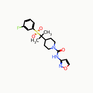 CC(C)(C1CCN(C(=O)Nc2ccon2)CC1)S(=O)(=O)c1cccc(F)c1